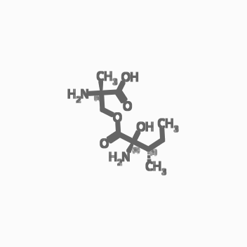 CC[C@H](C)[C@@](N)(O)C(=O)OC[C@](C)(N)C(=O)O